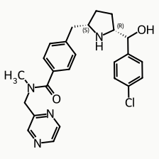 CN(Cc1cnccn1)C(=O)c1ccc(C[C@@H]2CC[C@H](C(O)c3ccc(Cl)cc3)N2)cc1